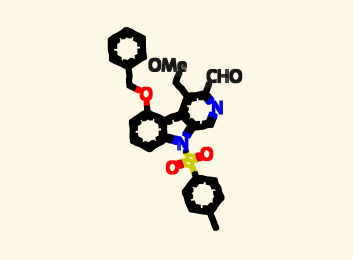 COCc1c(C=O)ncc2c1c1c(OCc3ccccc3)cccc1n2S(=O)(=O)c1ccc(C)cc1